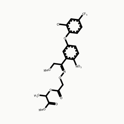 COCC(=NOCC(=O)OC(C)C(=O)OC)c1cc(Oc2ccc(C(F)(F)F)cc2Cl)ccc1[N+](=O)[O-]